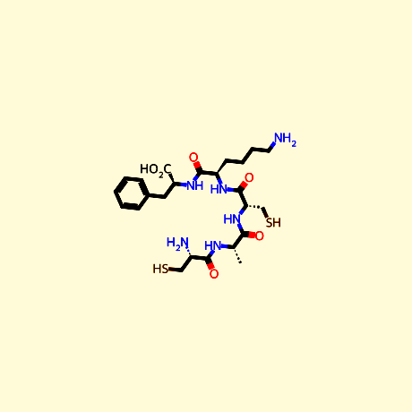 C[C@H](NC(=O)[C@@H](N)CS)C(=O)N[C@@H](CS)C(=O)N[C@H](CCCCN)C(=O)N[C@@H](Cc1ccccc1)C(=O)O